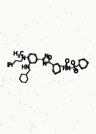 CC(C)CCN(C)c1ccc(-c2noc(-c3cccc(C(=O)NS(=O)(=O)c4ccccc4)c3)n2)cc1NCC1CCCCC1